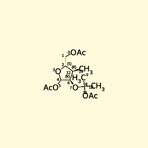 CC(=O)OC[C@H]1OC(OC(C)=O)[C@H](OC(C)(C)OC(C)=O)[C@@H]1C